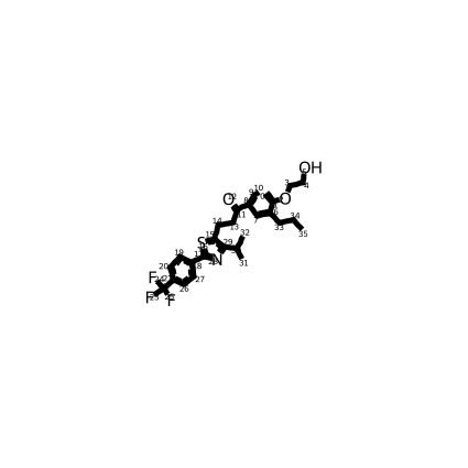 C=C(OCCO)/C(=C\C(=C/C)C(=O)CCc1sc(-c2ccc(C(F)(F)F)cc2)nc1C(C)C)CCC